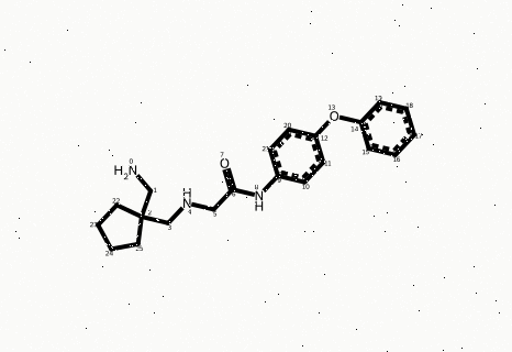 NCC1(CNCC(=O)Nc2ccc(Oc3ccccc3)cc2)CCCC1